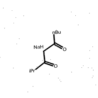 CCCCC(=O)CC(=O)C(C)C.[NaH]